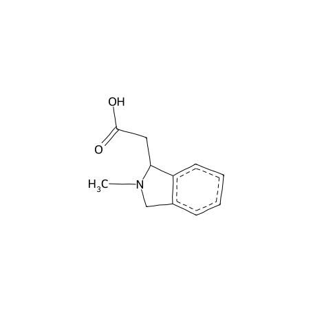 CN1Cc2ccccc2C1CC(=O)O